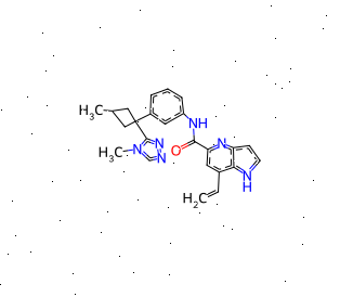 C=Cc1cc(C(=O)Nc2cccc(C3(c4nncn4C)CC(C)C3)c2)nc2cc[nH]c12